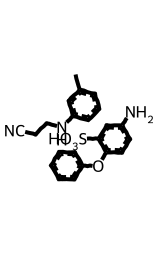 Cc1cccc(NCCC#N)c1.Nc1ccc(Oc2ccccc2)c(S(=O)(=O)O)c1